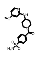 COc1ccnc(NC2CCN(C(=O)c3ccc(S(N)(=O)=O)cc3)CC2)c1